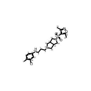 Cc1ccc(NCCCN2CC3CN(S(=O)(=O)c4c(C)noc4C)CC3C2)cc1Cl